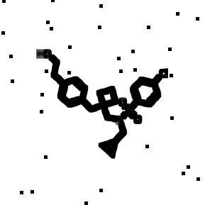 O=S(=O)(c1ccc(Cl)cc1)N(CC1CC1)CC1(Cc2ccc(CCO)cc2)CCC1